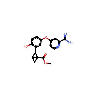 COC(=O)C12CC1C2c1cc(Oc2ccnc(C(=N)N)c2)ccc1O